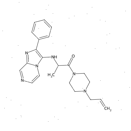 C=CCN1CCN(C(=O)C(C)Nc2c(-c3ccccc3)nc3cnccn23)CC1